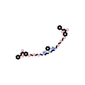 O=c1cc(-c2ccccc2)oc2cc(OCCOCCOCCn3cc(CN(Cc4cn(CCOCCOCCOc5ccc6c(=O)cc(-c7ccccc7)oc6c5)nn4)c4ccccc4)nn3)ccc12